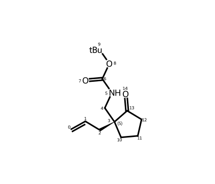 C=CC[C@]1(CNC(=O)OC(C)(C)C)CCCC1=O